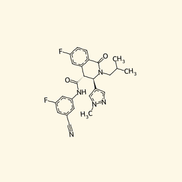 CC(C)CN1C(=O)c2ccc(F)cc2[C@@H](C(=O)Nc2cc(F)cc(C#N)c2)[C@@H]1c1cnn(C)c1